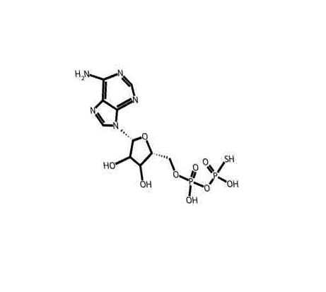 Nc1ncnc2c1ncn2[C@@H]1O[C@H](COP(=O)(O)OP(=O)(O)S)C(O)C1O